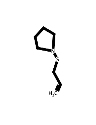 C=CCSN1CCCC1